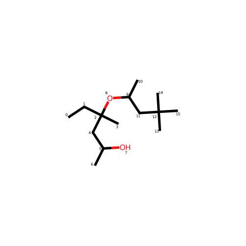 CCC(C)(CC(C)O)OC(C)CC(C)(C)C